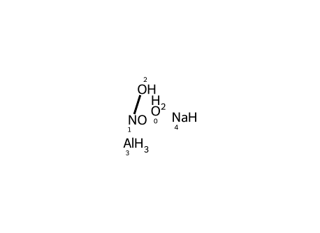 O.O=NO.[AlH3].[NaH]